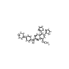 COc1cc(-c2nccs2)c(-c2nccs2)c2cnc(Nc3ccc(N4CCOCC4)cc3)nc12